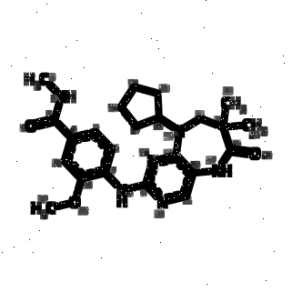 CNC(=O)c1ccc(Nc2ncc3c(n2)N(C2CCCC2)CC(C)(C)C(=O)N3)c(OC)c1